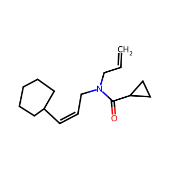 C=CCN(C/C=C\C1CCCCC1)C(=O)C1CC1